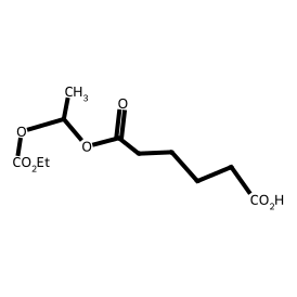 CCOC(=O)OC(C)OC(=O)CCCCC(=O)O